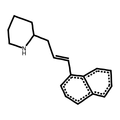 C(=Cc1cccc2ccccc12)CC1CCCCN1